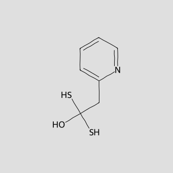 OC(S)(S)Cc1ccccn1